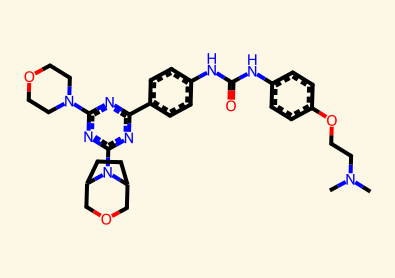 CN(C)CCOc1ccc(NC(=O)Nc2ccc(-c3nc(N4CCOCC4)nc(N4C5CCC4COC5)n3)cc2)cc1